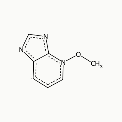 COn1cc[c]c2ncnc1-2